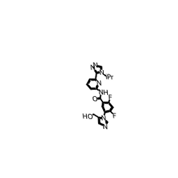 CC(C)n1cnnc1-c1cccc(NC(=O)c2cc(-n3cncc3CO)c(F)cc2F)n1